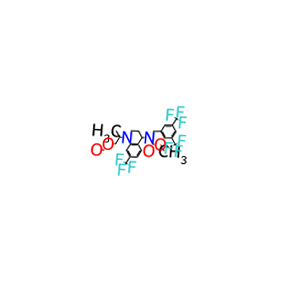 COC(=O)N(Cc1cc(C(F)(F)F)cc(C(F)(F)F)c1)C1CCN(C(C)COC=O)c2cc(C(F)(F)F)ccc21